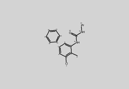 Cc1c(Cl)cccc1NC(=O)NC(C)C.c1ccccc1